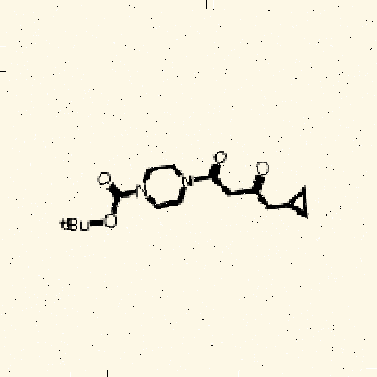 CC(C)(C)OC(=O)N1CCN(C(=O)CC(=O)CC2CC2)CC1